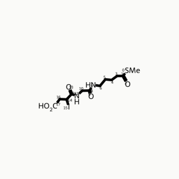 CSC(=O)CCCCNC(=O)CNC(=O)C(I)CC(=O)O